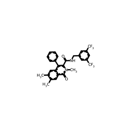 Cc1cc2c(-c3ccccc3)c(C(=O)NCc3cc(C(F)(F)F)cc(C(F)(F)F)c3)n(C)c(=O)c2cc1C